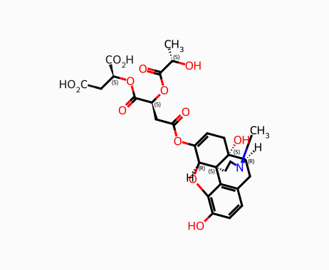 C[C@H](O)C(=O)O[C@@H](CC(=O)OC1=CC[C@@]2(O)[C@H]3Cc4ccc(O)c5c4[C@@]2(CCN3C)[C@H]1O5)C(=O)O[C@@H](CC(=O)O)C(=O)O